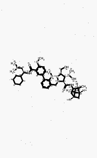 COc1ccc(-c2cccc(CN3O[C@@H](CO)[C@H]([C@H](C)O)[C@H]3C(=O)NC3C[C@H]4C[C@@H]([C@@H]3C)C4(C)C)c2OC)cc1C(=O)N[C@H](CN(C)C)C1CCCCC1